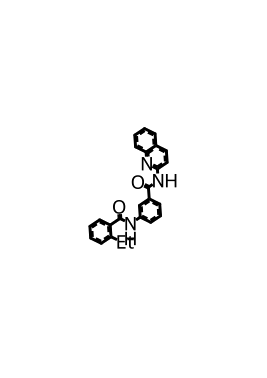 CCc1ccccc1C(=O)Nc1cccc(C(=O)Nc2ccc3ccccc3n2)c1